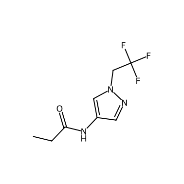 CCC(=O)Nc1cnn(CC(F)(F)F)c1